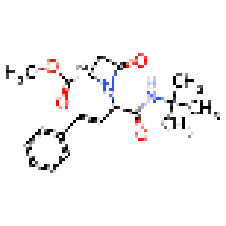 COC(=O)[C@@H]1CC(=O)N1C(C=Cc1ccccc1)C(=O)NC(C)(C)C